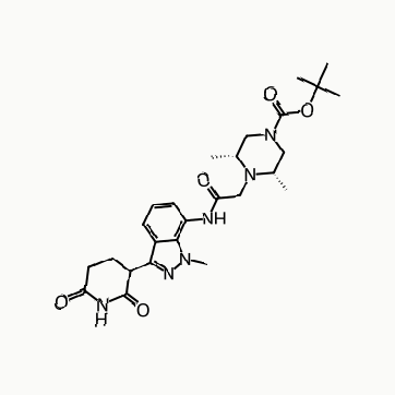 C[C@@H]1CN(C(=O)OC(C)(C)C)C[C@H](C)N1CC(=O)Nc1cccc2c(C3CCC(=O)NC3=O)nn(C)c12